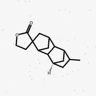 CC1C[C@@H]2CC1C1C3CC(C12)C1(CCOC1=O)C3